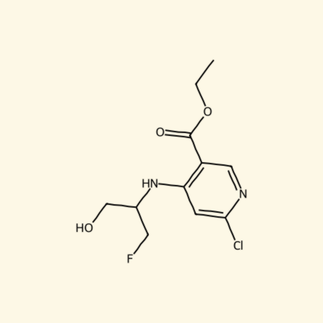 CCOC(=O)c1cnc(Cl)cc1NC(CO)CF